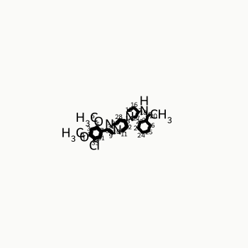 COc1cc(OC)c(-c2cn3ccc(N4CC[C@H](NC(C)C5CCCCC5)C4)cc3n2)cc1Cl